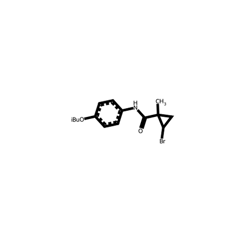 CC(C)COc1ccc(NC(=O)C2(C)CC2Br)cc1